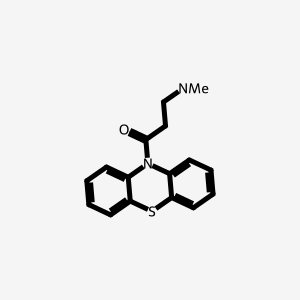 CNCCC(=O)N1c2ccccc2Sc2ccccc21